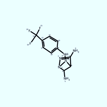 NC1=NN2C(N)C1N2Nc1ccc(C(F)(F)F)cc1